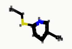 Cc1ccc(SCC(C)C)nc1